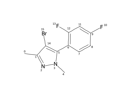 Cc1nn(C)c(-c2ccc(F)cc2F)c1Br